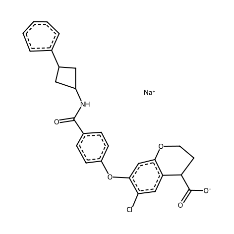 O=C(NC1CC(c2ccccc2)C1)c1ccc(Oc2cc3c(cc2Cl)C(C(=O)[O-])CCO3)cc1.[Na+]